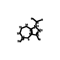 Cc1nn(C(C)C)c2c1CN(C)CCC2